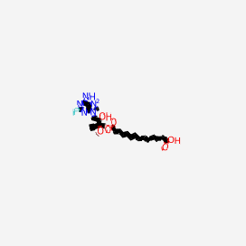 C#CC(COC(=O)CCCCCCCCCCCCC(=O)O)(OC)[C@@H](O)Cn1cnc2c(N)nc(F)nc21